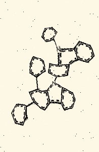 c1ccc(-c2cc(-c3ccccc3)c3c(c2)c2ccccc2n3-c2ccc3c(c2)c2ccccc2n3-c2ccccc2)cc1